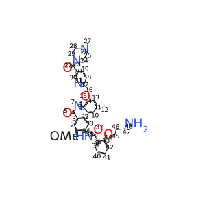 COc1cc(C(=O)N(C)c2ccc(C)cc2OCc2ccc(C(=O)N3CCN(C)CC3)cn2)ccc1NC(=O)c1ccccc1OCCCN